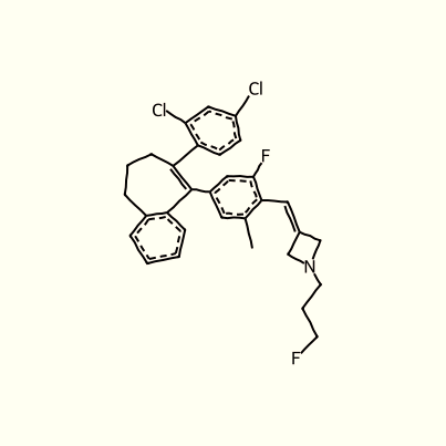 Cc1cc(C2=C(c3ccc(Cl)cc3Cl)CCCc3ccccc32)cc(F)c1C=C1CN(CCCF)C1